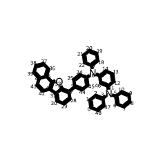 c1ccc(N(c2ccccc2)c2cccc(N(c3ccccc3)c3ccc(-c4cccc5c4oc4c6ccccc6ccc54)cc3)c2)cc1